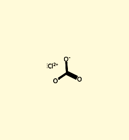 O=C([O-])[O-].[Cl+2]